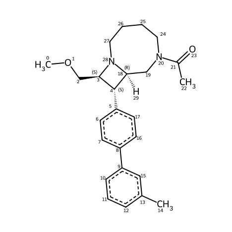 COC[C@@H]1[C@@H](c2ccc(-c3cccc(C)c3)cc2)[C@@H]2CN(C(C)=O)CCCCN12